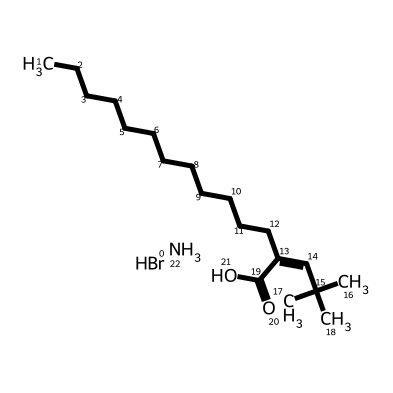 Br.CCCCCCCCCCCC/C(=C/C(C)(C)C)C(=O)O.N